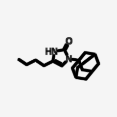 CCCCc1cn(C23CC4CC(CC(C4)C2)C3)c(=O)[nH]1